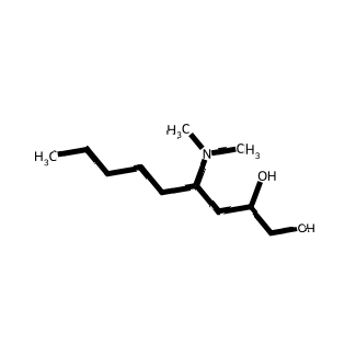 CCCCCC(CC(O)CO)N(C)C